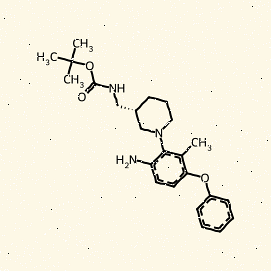 Cc1c(Oc2ccccc2)ccc(N)c1N1CCC[C@@H](CNC(=O)OC(C)(C)C)C1